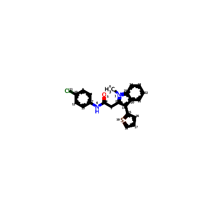 Cn1c(CC(=O)Nc2ccc(Cl)cc2)c(-c2cccs2)c2ccccc21